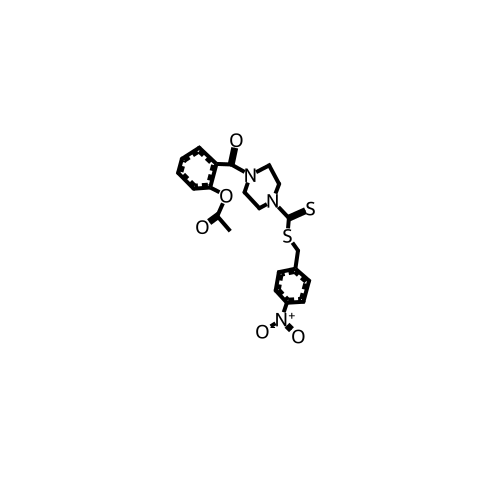 CC(=O)Oc1ccccc1C(=O)N1CCN(C(=S)SCc2ccc([N+](=O)[O-])cc2)CC1